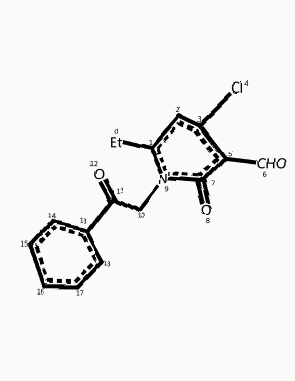 CCc1cc(Cl)c(C=O)c(=O)n1CC(=O)c1ccccc1